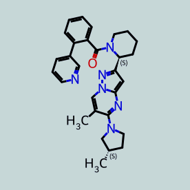 Cc1cn2nc([C@@H]3CCCCN3C(=O)c3ccccc3-c3cccnc3)cc2nc1N1CC[C@H](C)C1